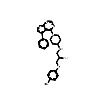 Oc1ccc(OCC(O)CNC2CCN(c3ncnc4scc(-c5ccccc5)c34)CC2)cc1